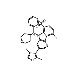 Cc1noc(C)c1-c1cnc2c3c(F)ccc(S(C)(=O)=O)c3n([C@H](c3ccccc3)C3CCOCC3)c2c1